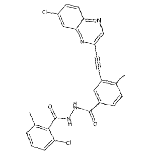 Cc1ccc(C(=O)NNC(=O)c2c(C)cccc2Cl)cc1C#Cc1cnc2ccc(Cl)cc2n1